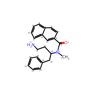 CN(C(=O)c1ccc2ccccc2c1)C(CCN)Cc1ccccc1